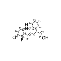 CC(CO)CCC1C(C)c2c(ccc(Cl)c2F)NC1c1ccccc1